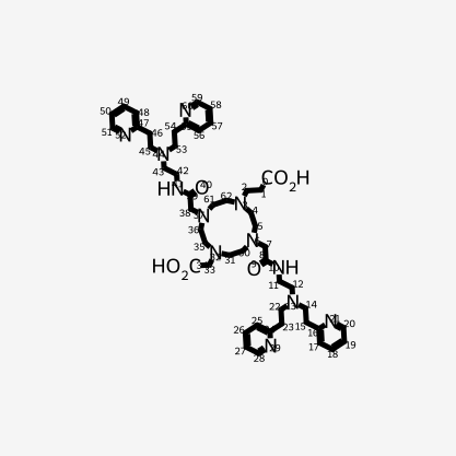 O=C(O)CCN1CCN(CC(=O)NCCN(CCc2ccccn2)CCc2ccccn2)CCN(CC(=O)O)CCN(CC(=O)NCCN(CCc2ccccn2)CCc2ccccn2)CC1